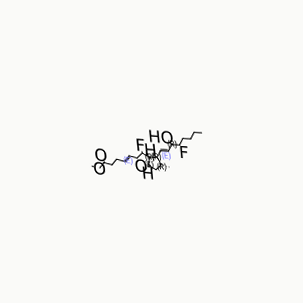 CCCCC(F)[C@H](O)/C=C/[C@@H]1[C@H]2C(F)C(/C=C/CCC(=O)OC)O[C@H]2C[C@H]1C